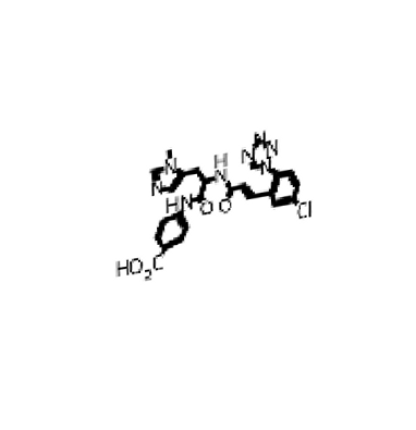 Cn1cncc1CC(NC(=O)C=Cc1cc(Cl)ccc1-n1cnnn1)C(=O)Nc1ccc(C(=O)O)cc1